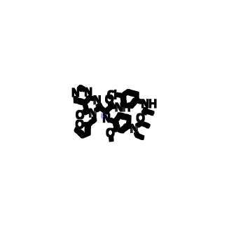 CCN(CC)c1ccc(/N=C(\C(=O)Nc2cc(NC(C)=O)ccc2Cl)c2nc3ncncc3c(=O)n2Cc2ccco2)c(OC)c1